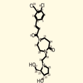 O=C(C=Cc1ccc(Cl)c(Cl)c1)N1CCC(=O)N(CCN2CC[C@H](O)[C@H]2CO)CC1